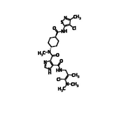 CC(CNC(=O)c1[nH]cnc1C(=O)N(C)[C@H]1CC[C@H](C(=O)Nc2snc(C)c2Cl)CC1)=C(Cl)N(C)C